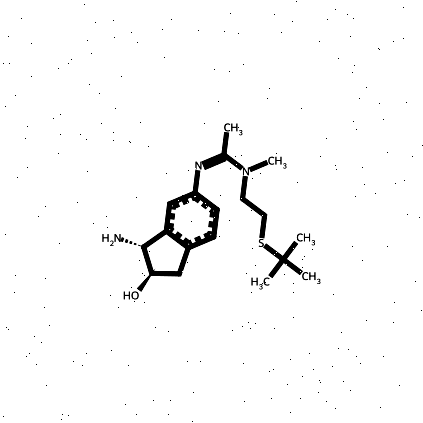 CC(=Nc1ccc2c(c1)[C@@H](N)[C@H](O)C2)N(C)CCSC(C)(C)C